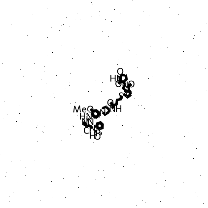 COc1cc(N2CCC(NC(=O)CCCSc3cccc4c3CN(C3CCC(=O)NC3=O)C4=O)CC2)ccc1Nc1ncc(Cl)c(Nc2ccccc2P(C)(C)=O)n1